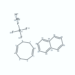 C1=CCCC=CCC1.F[B-](F)(F)F.[H+].[Rh].c1ccc2ccccc2c1